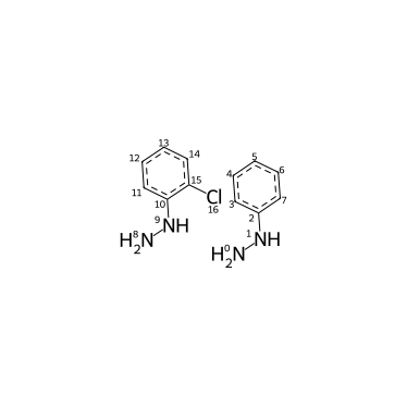 NNc1ccccc1.NNc1ccccc1Cl